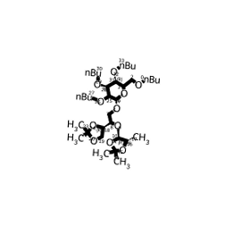 CCCCOCC1O[C@H](OCC(O[C@@H]2OC(C)(C)O[C@H]2C)[C@H]2COC(C)(C)O2)C(OCCCC)[C@@H](OCCCC)[C@@H]1OCCCC